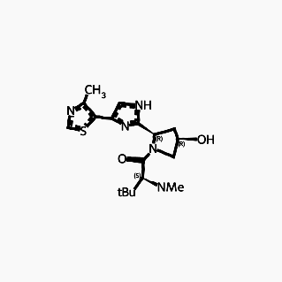 CN[C@H](C(=O)N1C[C@H](O)C[C@@H]1c1nc(-c2scnc2C)c[nH]1)C(C)(C)C